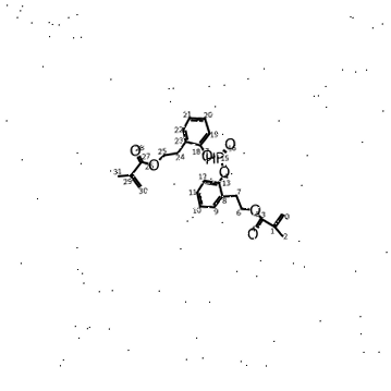 C=C(C)C(=O)OCCc1ccccc1O[PH](=O)Oc1ccccc1CCOC(=O)C(=C)C